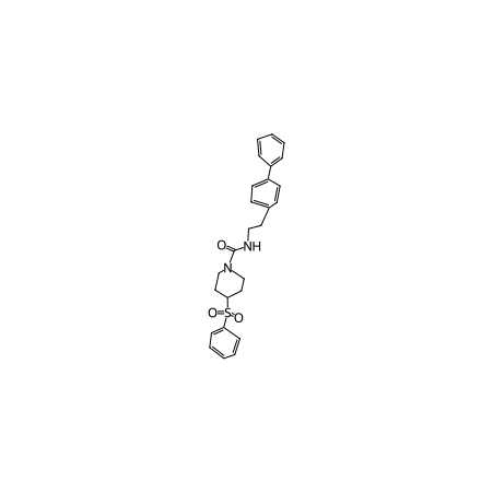 O=C(NCCc1ccc(-c2ccccc2)cc1)N1CCC(S(=O)(=O)c2ccccc2)CC1